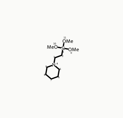 CO[Si](CCN1CCCCC1)(OC)OC